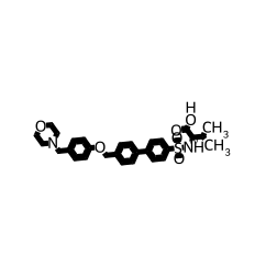 CC(C)[C@@H](NS(=O)(=O)c1ccc(-c2ccc(COc3ccc(CN4CCOCC4)cc3)cc2)cc1)C(=O)O